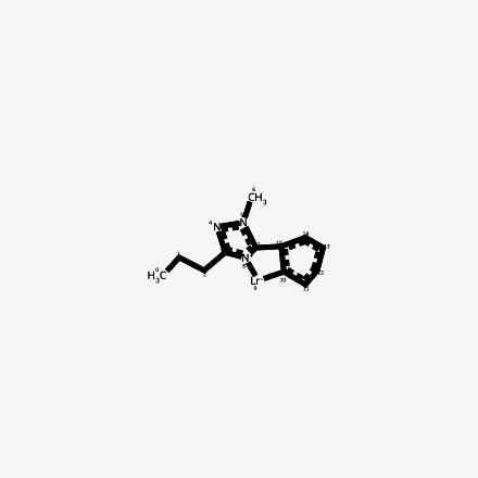 CCCc1nn(C)c2[n+]1[Lr-][c]1ccccc1-2